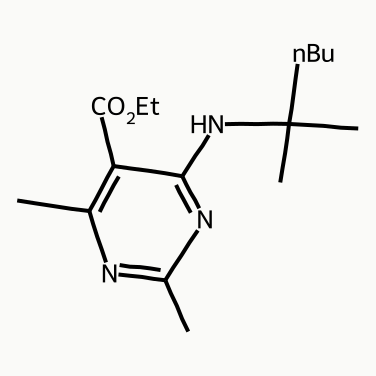 CCCCC(C)(C)Nc1nc(C)nc(C)c1C(=O)OCC